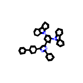 C1=Cc2c(n(-c3cc(-c4cc(C5C=CC(c6ccccc6)=CC5)nc(-c5ccccc5)n4)cc(-n4c5ccccc5c5ccccc54)c3)c3ccccc23)CC1